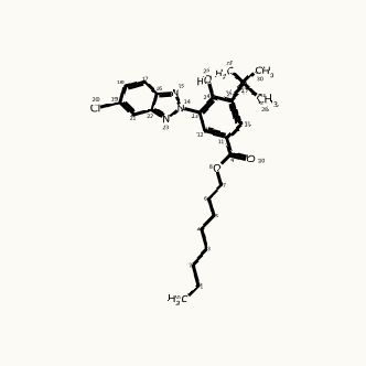 CCCCCCCCOC(=O)c1cc(-n2nc3ccc(Cl)cc3n2)c(O)c(C(C)(C)C)c1